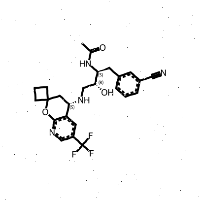 CC(=O)N[C@@H](Cc1cccc(C#N)c1)[C@H](O)CN[C@H]1CC2(CCC2)Oc2ncc(C(F)(F)F)cc21